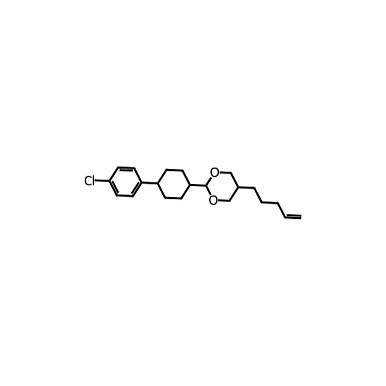 C=CCCCC1COC(C2CCC(c3ccc(Cl)cc3)CC2)OC1